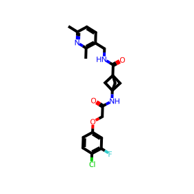 Cc1ccc(CNC(=O)C23CC(NC(=O)COc4ccc(Cl)c(F)c4)(C2)C3)c(C)n1